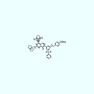 COc1ccc(COc2cc(-c3ncc4c(N5C[C@H]6CC[C@@H](C5)N6)nc(OCC56CCCN5CCC6)nc4c3F)cc(C(F)(F)c3ccccc3)c2)cc1